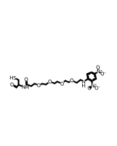 O=CC(CS)NC(=O)CCOCCOCCOCCOCCNc1ccc([N+](=O)[O-])cc1[N+](=O)[O-]